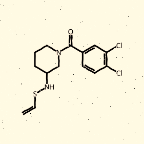 C=CSNC1CCCN(C(=O)c2ccc(Cl)c(Cl)c2)C1